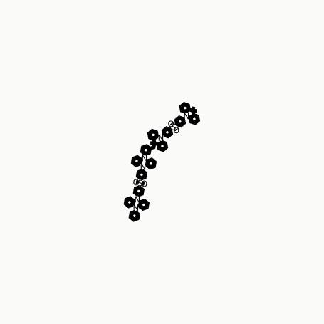 CC1(C)c2ccccc2N(c2ccc(S(=O)(=O)c3ccc(N4c5ccccc5C(C)(Cc5cccc(N6c7ccccc7N(c7ccc(S(=O)(=O)c8ccc(N9c%10ccccc%10N(c%10ccccc%10)c%10ccccc%109)cc8)cc7)c7ccccc76)c5)c5ccccc54)cc3)cc2)c2ccccc21